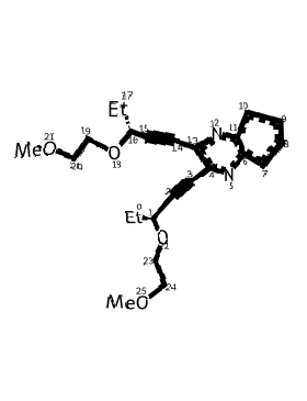 CC[C@@H](C#Cc1nc2ccccc2nc1C#C[C@@H](CC)OCCOC)OCCOC